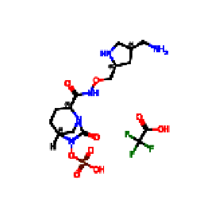 NC[C@@H]1CN[C@H](CONC(=O)[C@@H]2CC[C@@H]3CN2C(=O)N3OS(=O)(=O)O)C1.O=C(O)C(F)(F)F